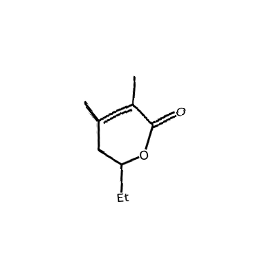 CCC1CC(C)=C(C)C(=O)O1